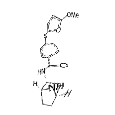 COc1ccc(Sc2ccc(C(=O)N[C@@H]3C[C@H]4CC[C@@H]3N4)cc2)o1